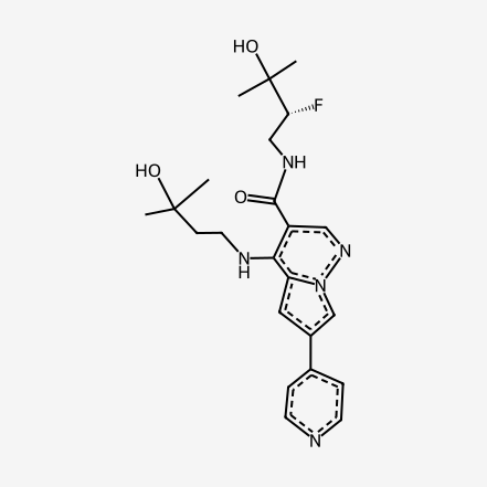 CC(C)(O)CCNc1c(C(=O)NC[C@@H](F)C(C)(C)O)cnn2cc(-c3ccncc3)cc12